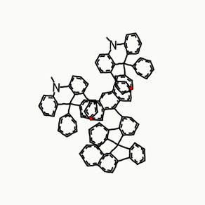 CN1c2ccccc2C(c2ccccc2)(c2ccccc2)c2c(-c3cccc4c(-c5cccc6c5-c5ccccc5C65c6ccccc6-c6ccc7ccccc7c65)c5cccc(-c6cccc7c6C(c6ccccc6)(c6ccccc6)c6ccccc6N7C)c5cc34)cccc21